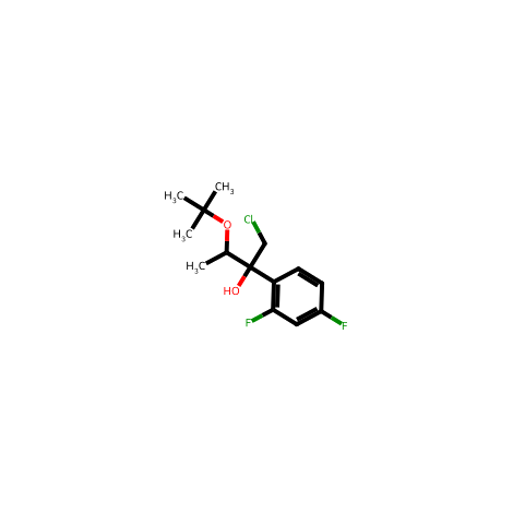 CC(OC(C)(C)C)C(O)(CCl)c1ccc(F)cc1F